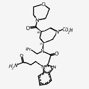 CC(C)CN(C(=O)c1nc2ccccc2n1CCC(N)=O)[C@H]1C[C@@H](C(=O)N2CCOCC2)CN(C(=O)O)C1